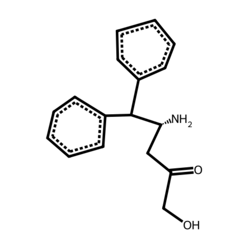 N[C@H](CC(=O)CO)C(c1ccccc1)c1ccccc1